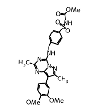 COC(=O)NS(=O)(=O)c1ccc(CNc2nc(C)nc3c(-c4ccc(OC)c(OC)c4)c(C)nn23)cc1